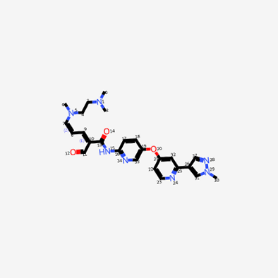 CN(C)CCN(C)/C=C\C=C(/C=O)C(=O)Nc1ccc(Oc2ccnc(-c3cnn(C)c3)c2)cn1